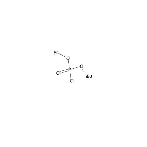 CCOP(=O)(Cl)O[C@@H](C)CC